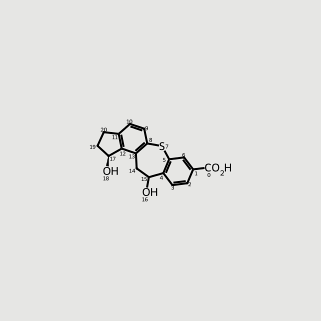 O=C(O)c1ccc2c(c1)Sc1ccc3c(c1CC2O)[C@@H](O)CC3